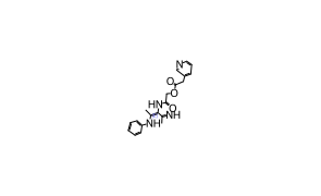 CC(=N)/C(NC(=O)COC(=O)Cc1cccnc1)=C(/C)Nc1ccccc1